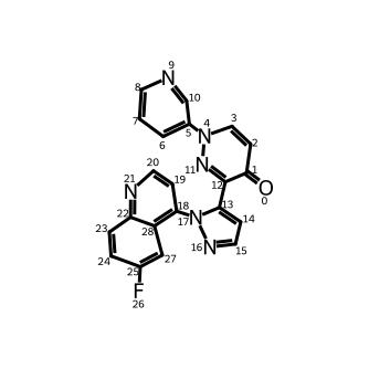 O=c1ccn(-c2cccnc2)nc1-c1ccnn1-c1ccnc2ccc(F)cc12